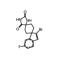 O=C1NC(=O)C2(CCC3(CC2)C(Br)=Cc2ccc(F)cc23)N1